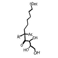 CCCCCCCCCCCCCCCCC(C(C)=O)(C(C)=O)C(=O)C(O)C(O)CO